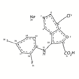 O=C(O)c1oc2c(Cl)cncc2c1Nc1ccc(I)cc1F.[Na]